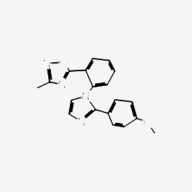 COc1ccc(-c2nccn2-c2ccccc2-c2nc(C)no2)cc1